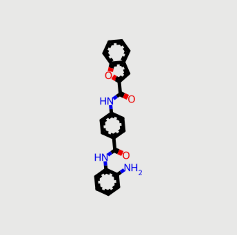 Nc1ccccc1NC(=O)c1ccc(NC(=O)c2cc3ccccc3o2)cc1